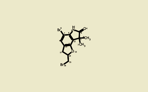 CC1(C)C(=O)Nc2c(Br)cc3c(c21)OC(CBr)C3